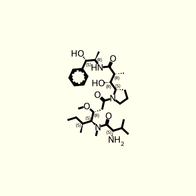 CC[C@H](C)[C@@H]([C@@H](CC(=O)N1CCC[C@H]1[C@H](O)[C@@H](C)C(=O)N[C@H](C)[C@@H](O)c1ccccc1)OC)N(C)C(=O)[C@@H](N)C(C)C